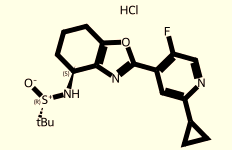 CC(C)(C)[S@+]([O-])N[C@H]1CCCc2oc(-c3cc(C4CC4)ncc3F)nc21.Cl